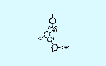 COc1cncc(-c2cc3c(Cl)ccc(NS(=O)(=O)c4ccc(C)cc4)n3n2)c1